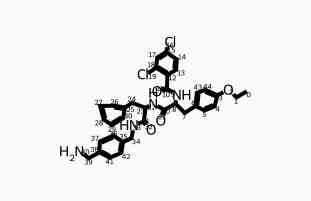 CCOc1ccc(CC(NC(=O)c2ccc(Cl)cc2Cl)C(=O)NC(Cc2ccccc2)C(=O)NCc2ccc(CN)cc2)cc1